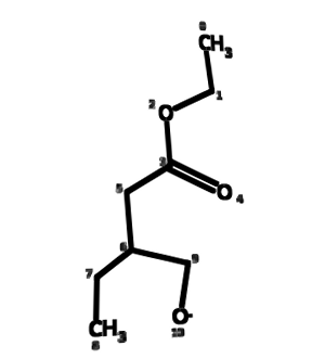 CCOC(=O)CC(CC)C[O]